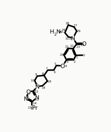 Cc1cc(OCCCC2CCN(c3nc(C(C)C)no3)CC2)ccc1C(=O)N1CCC[C@@H](N)C1